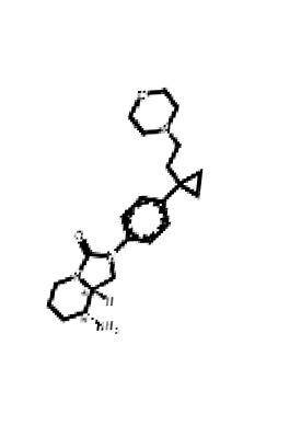 N[C@@H]1CCCN2C(=O)N(c3ccc(C4(CCN5CCOCC5)CC4)cc3)C[C@H]12